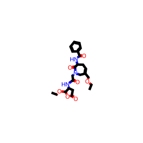 CCOCC1=CCC(NC(=O)c2ccccc2)C(=O)N(CC(=O)NC2CC(=O)OC2OCC)C1